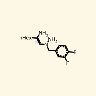 CCCCCC/C(N)=C/N(N)Cc1ccc(F)c(F)c1